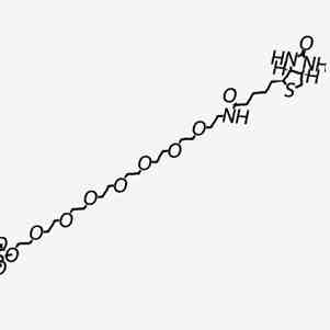 CS(=O)(=O)OCCOCCOCCOCCOCCOCCOCCOCCNC(=O)CCCC[C@@H]1SC[C@@H]2NC(=O)N[C@@H]21